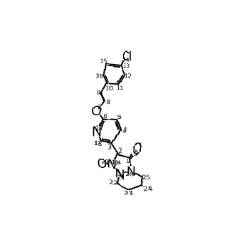 O=C1C(c2ccc(OCCc3ccc(Cl)cc3)nc2)[N+](=O)N2CCCCN12